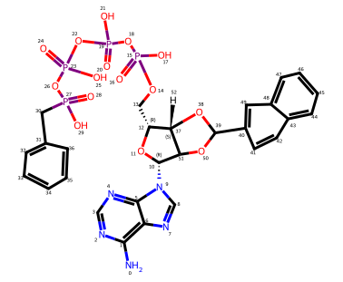 Nc1ncnc2c1ncn2[C@@H]1O[C@H](COP(=O)(O)OP(=O)(O)OP(=O)(O)OP(=O)(O)Cc2ccccc2)[C@@H]2OC(c3ccc4ccccc4c3)OC21